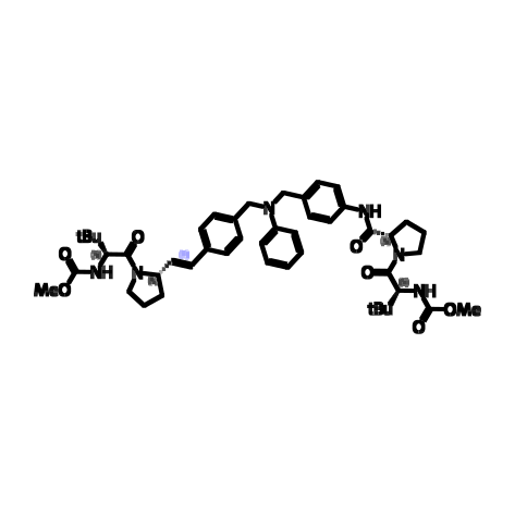 COC(=O)N[C@H](C(=O)N1CCC[C@H]1/C=C/c1ccc(CN(Cc2ccc(NC(=O)[C@@H]3CCCN3C(=O)[C@@H](NC(=O)OC)C(C)(C)C)cc2)c2ccccc2)cc1)C(C)(C)C